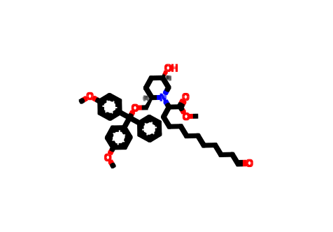 COC(=O)C(CCCCCCCCCC=O)N1C[C@H](O)CC[C@@H]1COC(c1ccccc1)(c1ccc(OC)cc1)c1ccc(OC)cc1